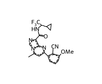 COc1cccc(-c2cc(C)n3cnc(C(=O)NC(C4CC4)C(F)(F)F)c3n2)c1C#N